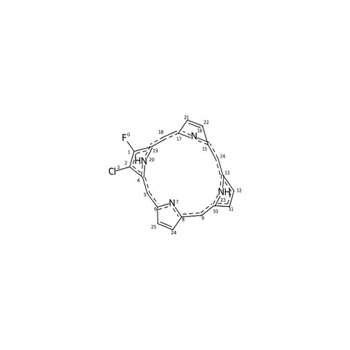 Fc1c(Cl)c2cc3nc(cc4ccc(cc5nc(cc1[nH]2)C=C5)[nH]4)C=C3